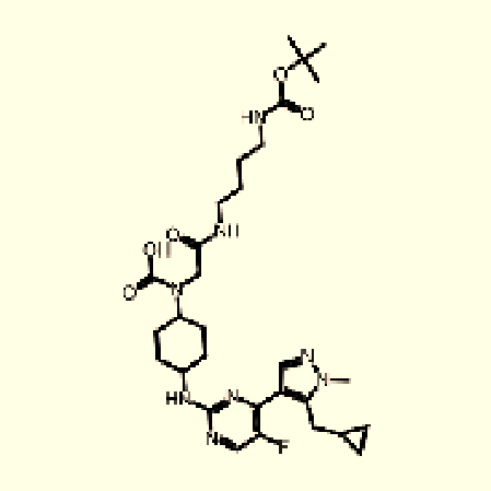 Cn1ncc(-c2nc(NC3CCC(N(CC(=O)NCCCCNC(=O)OC(C)(C)C)C(=O)O)CC3)ncc2F)c1CC1CC1